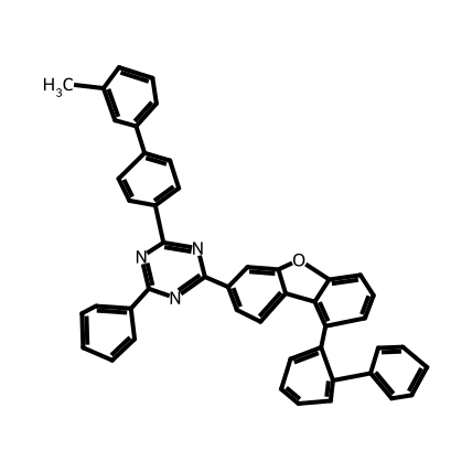 Cc1cccc(-c2ccc(-c3nc(-c4ccccc4)nc(-c4ccc5c(c4)oc4cccc(-c6ccccc6-c6ccccc6)c45)n3)cc2)c1